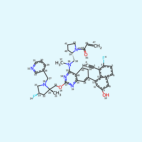 C#Cc1c(F)ccc2cc(O)cc(C3=Cc4nc(OC[C@]5(C)C[C@@H](F)CN5Cc5cccnc5)nc(N(C)C[C@@H]5CCCN5C(=O)C=C)c4CC3)c12